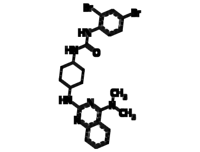 CN(C)c1nc(NC2CCC(NC(=O)Nc3ccc(Br)cc3Br)CC2)nc2ccccc12